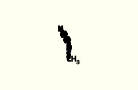 CCCC/C=C/OCCC1CCC(c2ccc(C#N)cc2)CC1